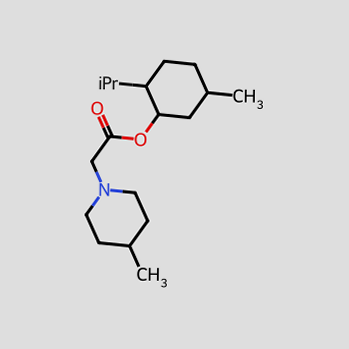 CC1CCN(CC(=O)OC2CC(C)CCC2C(C)C)CC1